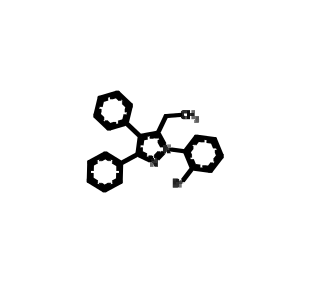 CCc1c(-c2ccccc2)c(-c2ccccc2)nn1-c1ccccc1Br